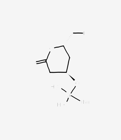 CC(C)(C)[Si](C)(C)O[C@H]1CC(=O)O[C@H](CI)C1